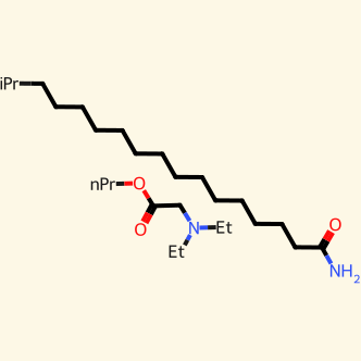 CC(C)CCCCCCCCCCCCCCC(N)=O.CCCOC(=O)CN(CC)CC